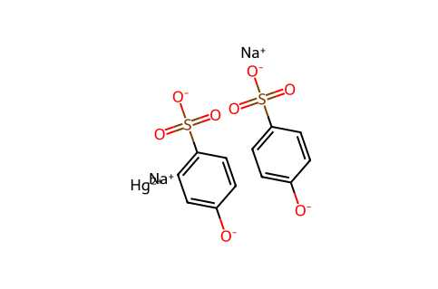 O=S(=O)([O-])c1ccc([O-])cc1.O=S(=O)([O-])c1ccc([O-])cc1.[Hg+2].[Na+].[Na+]